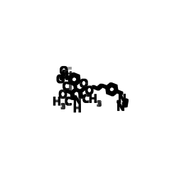 CC1=C(C(=O)Cl)C(c2cccc([N+](=O)[O-])c2)C(C(=O)OC/C=C/c2ccc(Cn3ccnc3)cc2)=C(C)N1